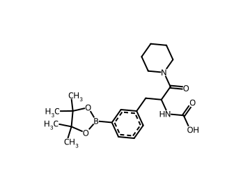 CC1(C)OB(c2cccc(CC(NC(=O)O)C(=O)N3CCCCC3)c2)OC1(C)C